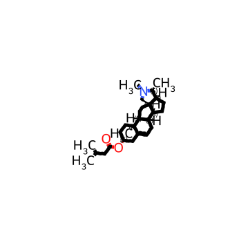 CC(C)CC(=O)O[C@H]1CC[C@@]2(C)C(=CC[C@H]3[C@@H]4CC[C@@H]5[C@H](C)N(C)C[C@@]54CC[C@@H]32)C1